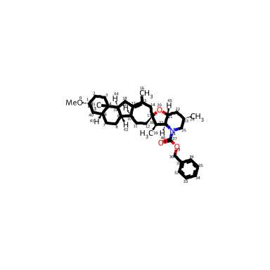 CO[C@@H]1CCC2(C)[C@H](CC[C@H]3[C@@H]4CC[C@@]5(CC(C)=C4C[C@@H]32)O[C@@H]2C[C@H](C)CN(C(=O)OCc3ccccc3)[C@H]2[C@H]5C)C1